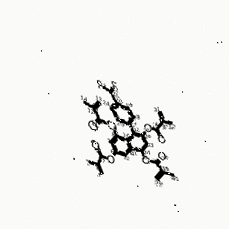 C=C(C)C(=O)Oc1cc(OC(=O)C(=C)C)c2c(-c3ccc(C(F)F)cc3)c(OC(=O)C(=C)C)cc(OC(=O)C(=C)C)c2c1